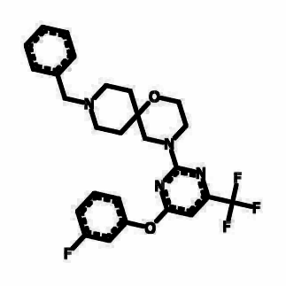 Fc1cccc(Oc2cc(C(F)(F)F)nc(N3CCOC4(CCN(Cc5ccccc5)CC4)C3)n2)c1